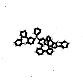 c1ccc(N(c2ccc3c(c2)-c2ccccc2-c2ccccc2O3)c2ccc3c(c2)-c2ccccc2-c2ccccc2C32c3ccccc3-c3c2ccc2c3oc3ccccc32)cc1